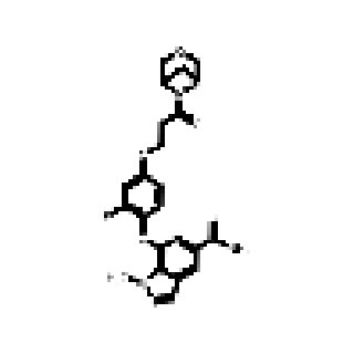 Cn1ncc2cc(C(N)=O)cc(Oc3ccc(OCCC(=O)N4C5COCC4C5)cc3F)c21